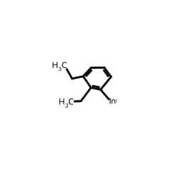 CCc1ccc[c]([In])c1CC